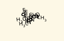 COC1(c2cc3c(N[C@H](C)c4cccc(C(F)F)c4F)nc(C)nc3cn2)CCN(C(C)=O)CC1